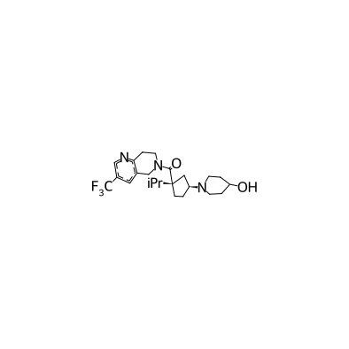 CC(C)[C@]1(C(=O)N2CCc3ncc(C(F)(F)F)cc3C2)CC[C@H](N2CCC(O)CC2)C1